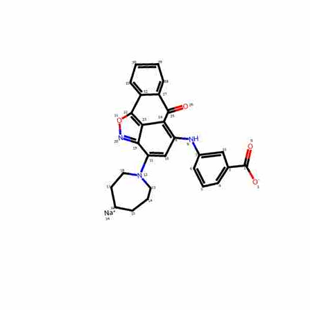 O=C([O-])c1cccc(Nc2cc(N3CCCCCC3)c3noc4c3c2C(=O)c2ccccc2-4)c1.[Na+]